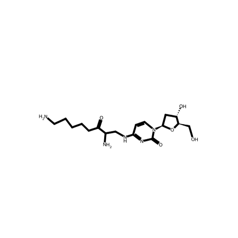 NCCCCCC(=O)C(N)CNc1ccn([C@H]2C[C@H](O)[C@@H](CO)O2)c(=O)n1